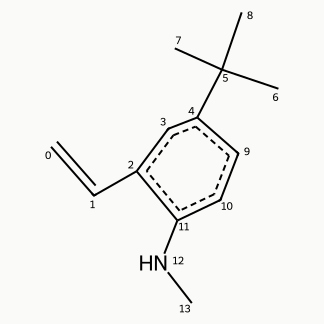 C=Cc1cc(C(C)(C)C)ccc1NC